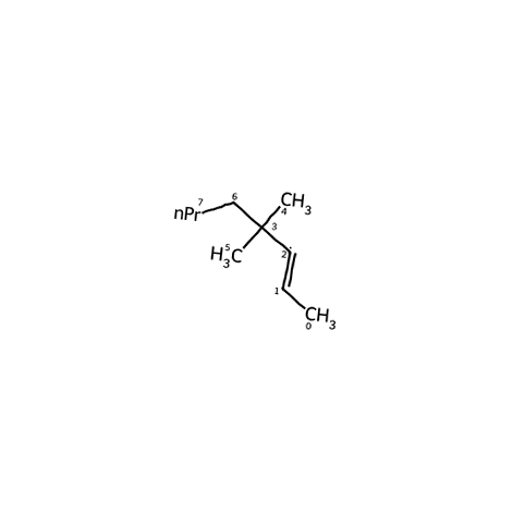 CC=[C]C(C)(C)CCCC